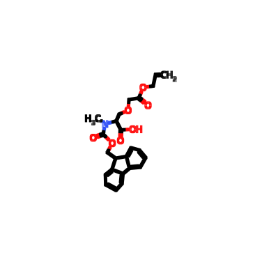 C=CCOC(=O)COCC(C(=O)O)N(C)C(=O)OCC1c2ccccc2-c2ccccc21